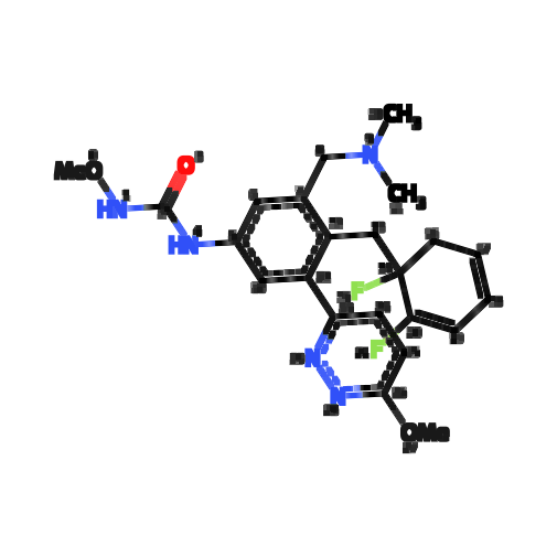 CONC(=O)Nc1cc(CN(C)C)c(CC2(F)CC=CC=C2F)c(-c2ccc(OC)nn2)c1